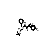 COc1ccc2c(C(=O)C(=O)N(CC(=O)OC(C)(C)C)CC3CCCCC3)c[nH]c2c1